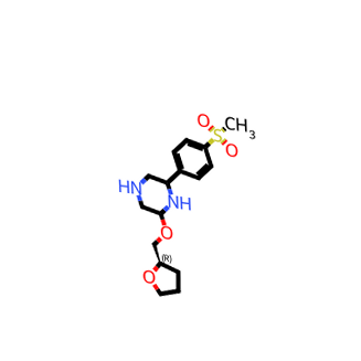 CS(=O)(=O)c1ccc(C2CNCC(OC[C@H]3CCCO3)N2)cc1